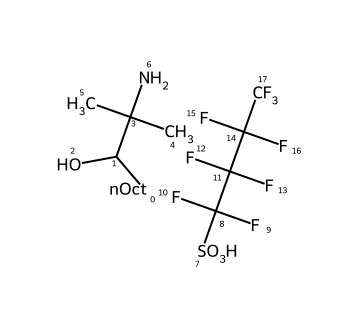 CCCCCCCCC(O)C(C)(C)N.O=S(=O)(O)C(F)(F)C(F)(F)C(F)(F)C(F)(F)F